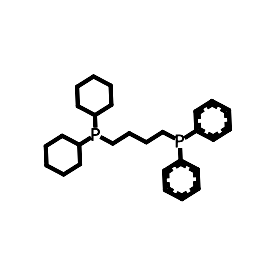 c1ccc(P(CCCCP(C2CCCCC2)C2CCCCC2)c2ccccc2)cc1